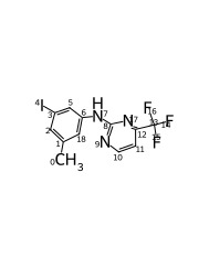 Cc1cc(I)cc(Nc2nccc(C(F)(F)F)n2)c1